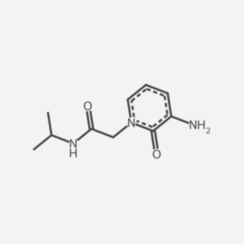 CC(C)NC(=O)Cn1cccc(N)c1=O